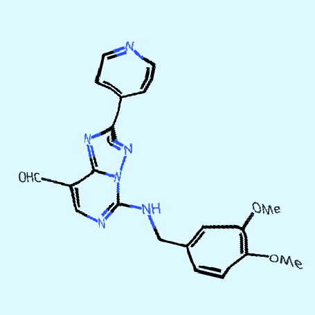 COc1ccc(CNc2ncc(C=O)c3nc(-c4ccncc4)nn23)cc1OC